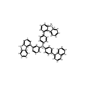 c1cc(-c2cccc3sc4ccccc4c23)cc(N(c2ccc(-c3cccc4ccccc34)cc2)c2ccc(-c3cccc4oc5ccccc5c34)cc2)c1